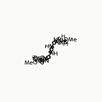 COC(=O)N[C@H](C(=O)N1CCCC1c1nc2ccc(-c3cc4cc5[nH]c(-c6ccc7nc(C8CCCN8C(=O)[C@H](NC(=O)OC)C(C)C)[nH]c7c6)cc5cc4[nH]3)cc2[nH]1)C(C)C